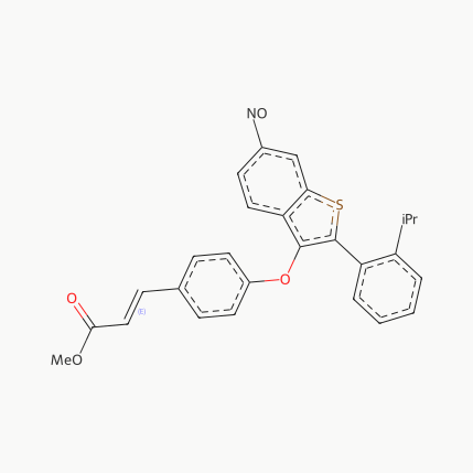 COC(=O)/C=C/c1ccc(Oc2c(-c3ccccc3C(C)C)sc3cc(N=O)ccc23)cc1